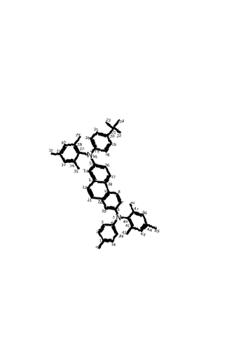 Cc1ccc(N(c2ccc3c(ccc4cc(N(c5ccc(C(C)(C)C)cc5)c5c(C)cc(C)cc5C)ccc43)c2)c2c(C)cc(C)cc2C)cc1